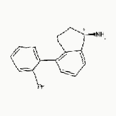 CC(C)c1ccccc1-c1cccc2c1CC[C@H]2N